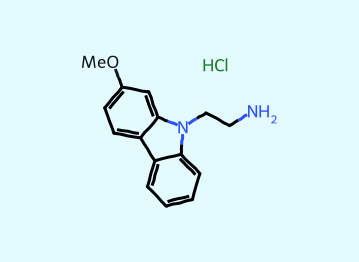 COc1ccc2c3ccccc3n(CCN)c2c1.Cl